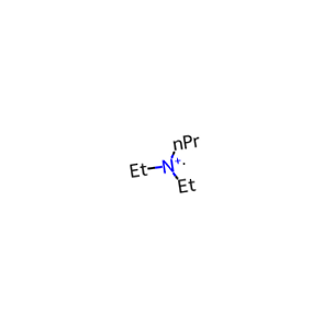 CCC[N+](CC)CC